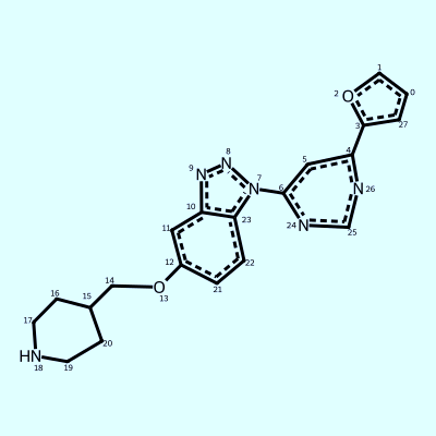 c1coc(-c2cc(-n3nnc4cc(OCC5CCNCC5)ccc43)ncn2)c1